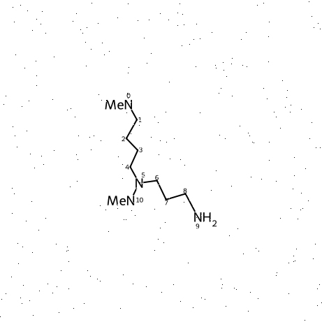 CNCCCCN(CCCN)NC